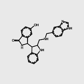 O=C1NC(C2c3ccccc3NC2CNCc2ccc3[nH]cnc3c2)c2cc(O)ccc21